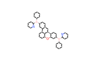 c1ccc(B(c2ccc3c(c2)Oc2cccc4c2c-3cc2ccc(B(c3ccccc3)c3ccccn3)cc24)c2ccccn2)cc1